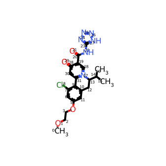 COCCOc1cc(Cl)c2c(c1)CC(C(C)C)n1cc(C(=O)Nc3nnn[nH]3)c(=O)cc1-2